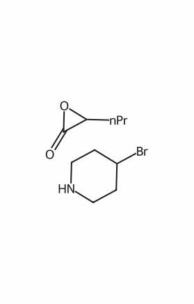 BrC1CCNCC1.CCCC1OC1=O